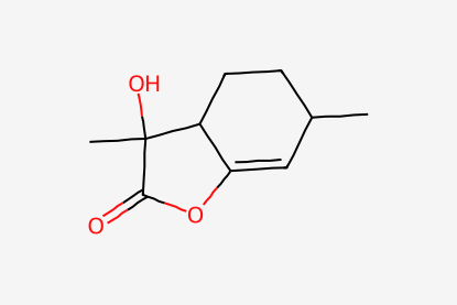 CC1C=C2OC(=O)C(C)(O)C2CC1